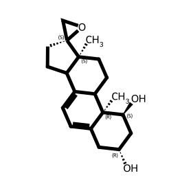 C[C@]12C(=CC=C3C1CC[C@@]1(C)C3CC[C@@]13CO3)C[C@@H](O)C[C@@H]2O